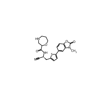 Cn1c(=O)oc2ccc(-c3ccc(C[C@@H](C#N)NC(=O)C4CNCCCO4)s3)cc21